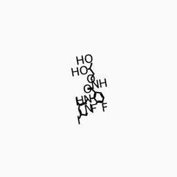 O=C(NOCC(O)CO)c1ccc(F)c(F)c1Nc1ncc(I)cc1I